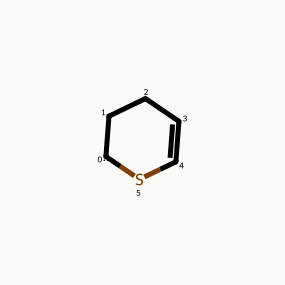 [C]1CCC=CS1